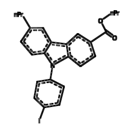 CCCOC(=O)c1ccc2c(c1)c1cc(CCC)ccc1n2-c1ccc(I)cc1